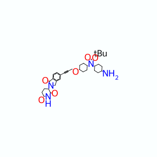 CC(C)(C)OC(=O)N([C@H]1CC[C@H](N)CC1)[C@H]1CC[C@@H](OCC#Cc2ccc3c(c2)CN(C2CCC(=O)NC2=O)C3=O)CC1